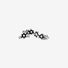 CC(Nc1cc(N2CCN(C3CCC(C)(O)CC3)CC2)ccc1Cl)c1ccc(Cl)cc1Cl